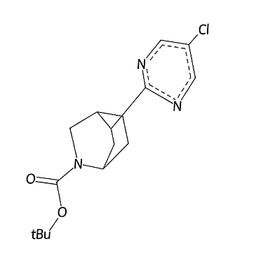 CC(C)(C)OC(=O)N1CC2CCC1CC2c1ncc(Cl)cn1